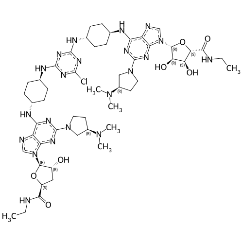 CCNC(=O)[C@@H]1C[C@@H](O)[C@H](n2cnc3c(N[C@H]4CC[C@H](Nc5nc(Cl)nc(N[C@H]6CC[C@H](Nc7nc(N8CC[C@@H](N(C)C)C8)nc8c7ncn8[C@@H]7O[C@H](C(=O)NCC)[C@@H](O)[C@H]7O)CC6)n5)CC4)nc(N4CC[C@@H](N(C)C)C4)nc32)O1